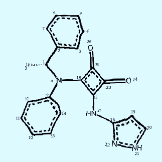 C[C@H](c1ccccc1)N(c1ccccc1)c1c(Nc2cc[nH]n2)c(=O)c1=O